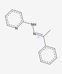 C/C(=N\Nc1ccccn1)c1ccccc1